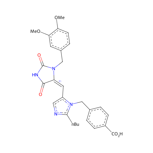 CCCCc1ncc(/C=C2\C(=O)NC(=O)N2Cc2ccc(OC)c(OC)c2)n1Cc1ccc(C(=O)O)cc1